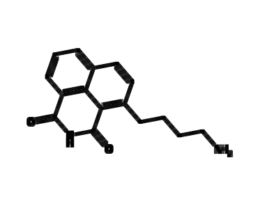 NCCCCc1ccc2cccc3c2c1C(=O)NC3=O